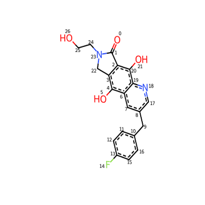 O=C1c2c(c(O)c3cc(Cc4ccc(F)cc4)cnc3c2O)CN1CCO